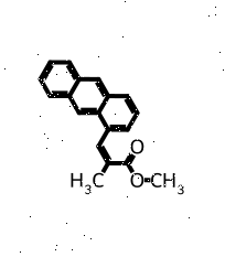 COC(=O)C(C)=Cc1cccc2cc3ccccc3cc12